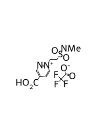 CNS(=O)(=O)CC[n+]1ccc(C(=O)O)cn1.O=C([O-])C(F)(F)F